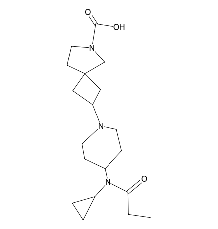 CCC(=O)N(C1CC1)C1CCN(C2CC3(CCN(C(=O)O)C3)C2)CC1